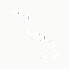 CC(F)(F)c1cccc(CCOc2ccc3cc(-c4noc([C@@H]5CCCN5C(=N)N)n4)ccc3c2)c1